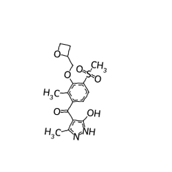 Cc1n[nH]c(O)c1C(=O)c1ccc(S(C)(=O)=O)c(OCC2CCO2)c1C